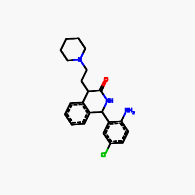 Nc1ccc(Cl)cc1C1NC(=O)C(CCN2CCCCC2)c2ccccc21